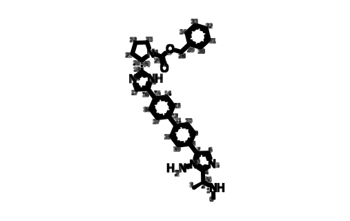 CN[C@@H](C)c1ncc(-c2ccc(-c3ccc(-c4cnc([C@@H]5CCCN5C(=O)OCc5ccccc5)[nH]4)cc3)cc2)n1N